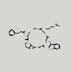 CC(=O)N[C@@H](Cc1ccccc1)C(=O)N[C@H]1CCCNC(=O)[C@H](CCCNC(=N)N)NC(=O)[C@H](Cc2c[nH]c3ccccc23)NC(=O)CNC(=O)[C@@H]2CCCN2C1=O